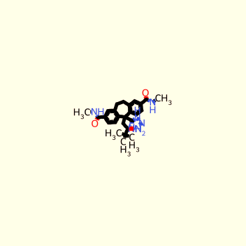 CNC(=O)c1ccc2c(c1)CCc1cc(C(=O)NC)ccc1C2(C[C@@H](N)C(C)(C)C)c1nnn[nH]1